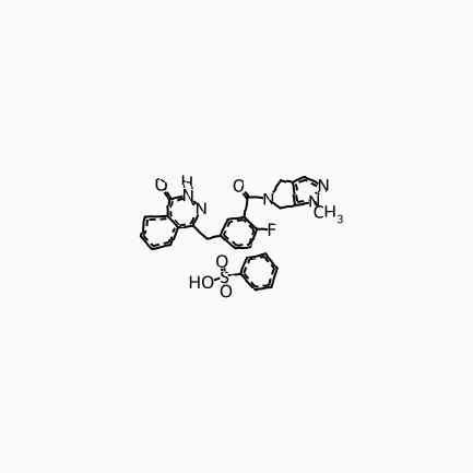 Cn1ncc2c1CN(C(=O)c1cc(Cc3n[nH]c(=O)c4ccccc34)ccc1F)C2.O=S(=O)(O)c1ccccc1